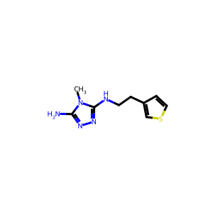 Cn1c(N)nnc1NCCc1ccsc1